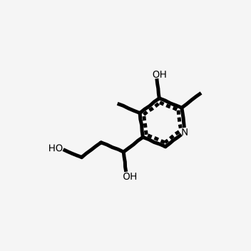 Cc1ncc(C(O)CCO)c(C)c1O